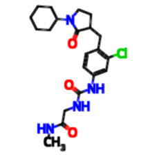 CNC(=O)CNC(=O)Nc1ccc(CC2CCN(C3CCCCC3)C2=O)c(Cl)c1